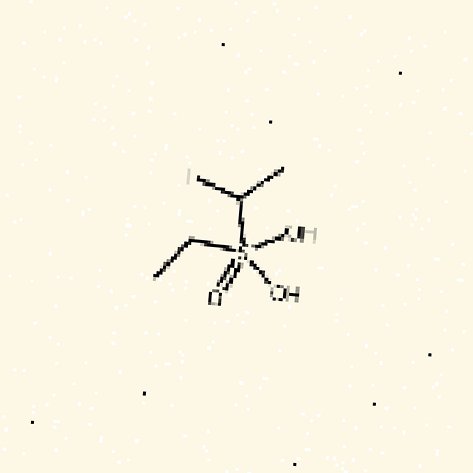 CCS(=O)(O)(O)C(C)F